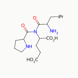 CC(C)CC(N)C(=O)N(C(=O)C1CCCN1)C(CCC(=O)O)C(=O)O